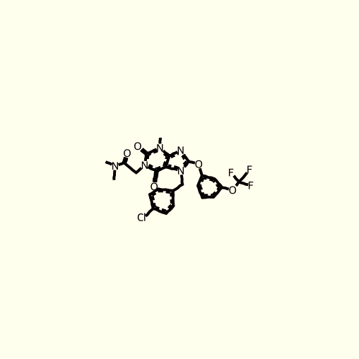 CN(C)C(=O)Cn1c(=O)c2c(nc(Oc3cccc(OC(F)(F)F)c3)n2Cc2ccc(Cl)cc2)n(C)c1=O